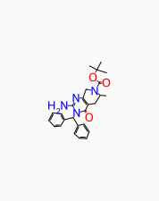 CC1Cc2c(nc(N)n(C(c3ccccc3)c3ccccc3)c2=O)CN1C(=O)OC(C)(C)C